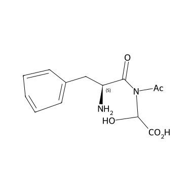 CC(=O)N(C(=O)[C@@H](N)Cc1ccccc1)C(O)C(=O)O